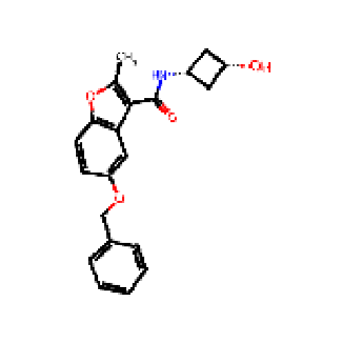 Cc1oc2ccc(OCc3ccccc3)cc2c1C(=O)N[C@H]1C[C@@H](O)C1